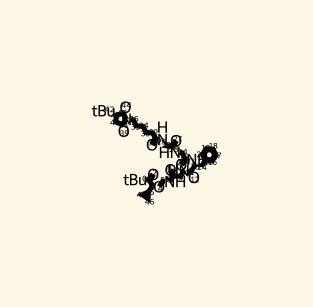 CC(C)(C)C(=O)C(OCNC(=O)CNC(=O)[C@H](Cc1ccccc1)NC(=O)CNC(=O)CNC(=O)CCCCCN1C(=O)CC(C(C)(C)C)C1=O)C1CC1